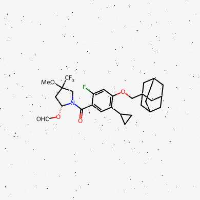 COC1(C(F)(F)F)C[C@@H](OC=O)N(C(=O)c2cc(C3CC3)c(OCC34CC5CC(CC(C5)C3)C4)cc2F)C1